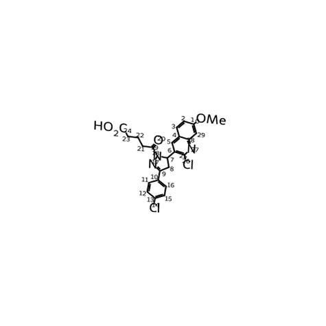 COc1ccc2cc(C3CC(c4ccc(Cl)cc4)=NN3C(=O)CCCC(=O)O)c(Cl)nc2c1